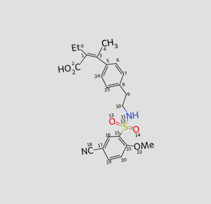 CC/C(C(=O)O)=C(\C)c1ccc(CCNS(=O)(=O)c2cc(C#N)ccc2OC)cc1